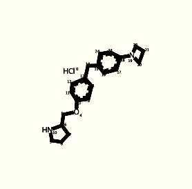 Cl.c1cc(OCC2CCCN2)ccc1Cc1ccc(N2CCC2)cc1